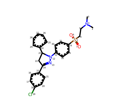 CN(C)CCS(=O)(=O)c1ccc(N2N=C(c3ccc(Cl)cc3)CC2c2ccccc2)cc1